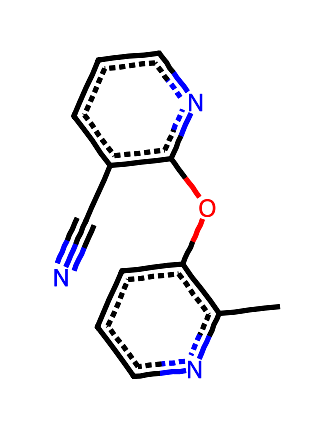 Cc1ncccc1Oc1ncccc1C#N